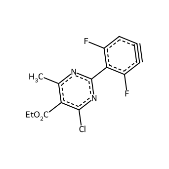 CCOC(=O)c1c(C)nc(-c2c(F)c#ccc2F)nc1Cl